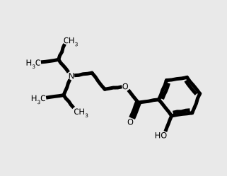 CC(C)N(CCOC(=O)c1ccccc1O)C(C)C